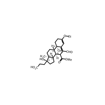 CCOC1=CC2=C(C=O)C(C(=O)OC)[C@@H]3[C@H](CC[C@@]4(C)[C@H]3CC[C@]4(O)CCC(=O)O)[C@@]2(C)CC1